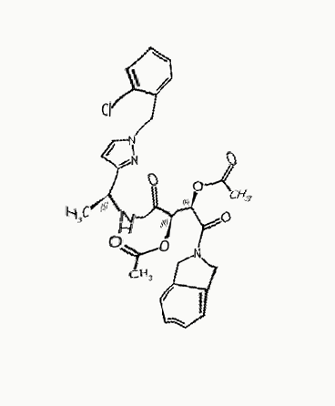 CC(=O)O[C@@H](C(=O)N[C@@H](C)c1ccn(Cc2ccccc2Cl)n1)[C@@H](OC(C)=O)C(=O)N1Cc2ccccc2C1